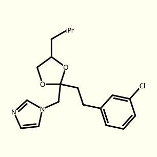 CC(C)CC1COC(CCc2cccc(Cl)c2)(Cn2ccnc2)O1